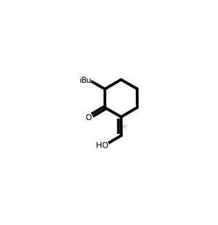 CCC(C)C1CCC/C(=C/O)C1=O